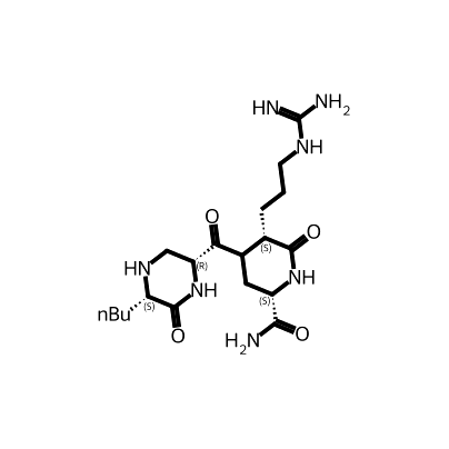 CCCC[C@@H]1NC[C@H](C(=O)C2C[C@@H](C(N)=O)NC(=O)[C@H]2CCCNC(=N)N)NC1=O